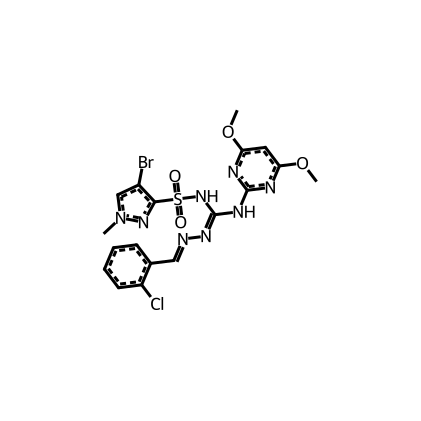 COc1cc(OC)nc(NC(=NN=Cc2ccccc2Cl)NS(=O)(=O)c2nn(C)cc2Br)n1